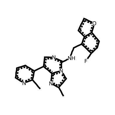 Cc1cn2c(NCc3c(F)ccc4occc34)ncc(-c3cccnc3C)c2n1